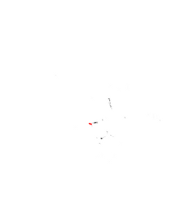 COc1ccc(C)c2c1C[C@H]1[C@@]3(OC)CC[C@@]4(C[C@@H]3C(C)(O)C(C)(C)C)[C@@H](C)CCC[C@]214